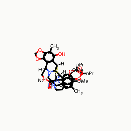 CCCC(=O)Oc1cc2c(cc1OC)[C@@]1(CS[C@@H]3c4c(O)c(C)c5c(c4[C@H](COC1=O)N1C3[C@H]3c4c(cc(C)c(OC)c4OC(=O)CCC)C[C@H]([C@@H]1C#N)N3C)OCO5)NCC2